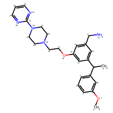 COc1cccc(C(C)c2cc(CN)cc(OCCN3CCN(c4ncccn4)CC3)c2)c1